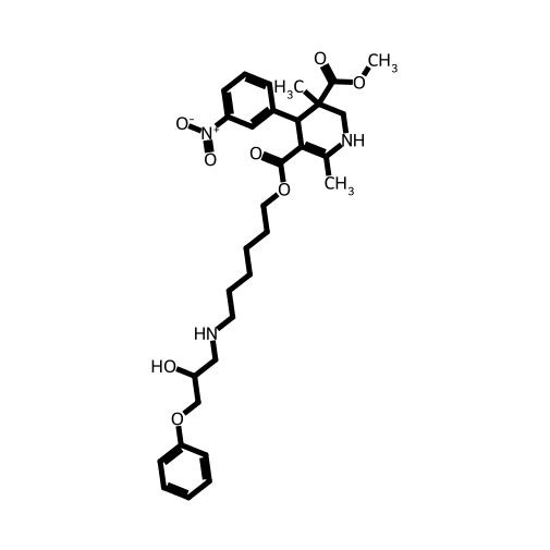 COC(=O)C1(C)CNC(C)=C(C(=O)OCCCCCCNCC(O)COc2ccccc2)C1c1cccc([N+](=O)[O-])c1